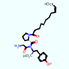 CCCCCCCC/C=C\CCCCCCCC(=O)N1CCC[C@H]1C(=O)N(C(=O)CN)[C@@H](Cc1ccc(O)cc1)C(=O)O